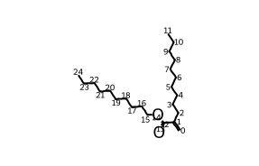 C=C(CCCCCCCCCC)C(=O)OCCCCCCCCCC